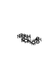 CC(C)(C)Nc1c(C#N)cnc2ccc(NCc3cccc(C[SH](=O)=O)c3)cc12